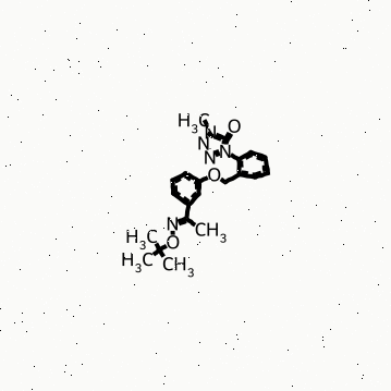 C/C(=N\OC(C)(C)C)c1cccc(OCc2ccccc2-n2nnn(C)c2=O)c1